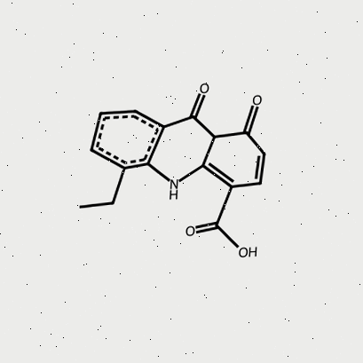 CCc1cccc2c1NC1=C(C(=O)O)C=CC(=O)C1C2=O